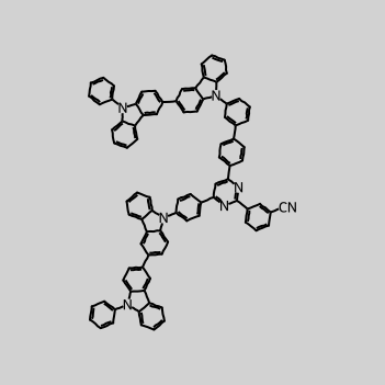 N#Cc1cccc(-c2nc(-c3ccc(-c4cccc(-n5c6ccccc6c6cc(-c7ccc8c(c7)c7ccccc7n8-c7ccccc7)ccc65)c4)cc3)cc(-c3ccc(-n4c5ccccc5c5cc(-c6ccc7c(c6)c6ccccc6n7-c6ccccc6)ccc54)cc3)n2)c1